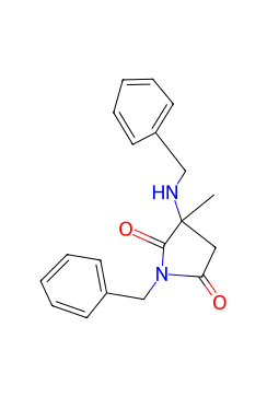 CC1(NCc2ccccc2)CC(=O)N(Cc2ccccc2)C1=O